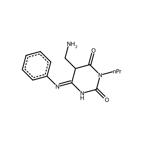 CCCN1C(=O)NC(=Nc2ccccc2)C(CN)C1=O